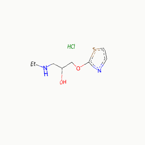 CCNCC(O)COc1nccs1.Cl